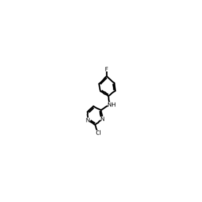 Fc1ccc(Nc2ccnc(Cl)n2)cc1